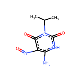 CC(C)n1c(=O)[nH]c(N)c(N=O)c1=O